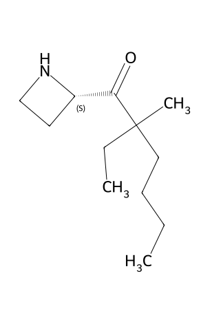 CCCCC(C)(CC)C(=O)[C@@H]1CCN1